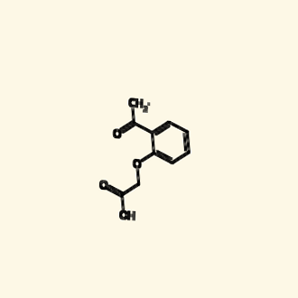 [CH2]C(=O)c1ccccc1OCC(=O)O